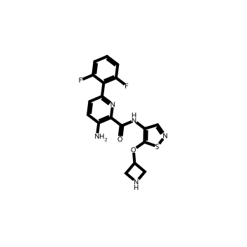 Nc1ccc(-c2c(F)cccc2F)nc1C(=O)Nc1cnsc1OC1CNC1